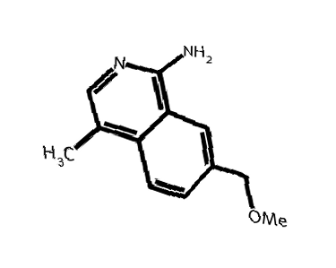 COCc1ccc2c(C)cnc(N)c2c1